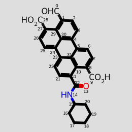 O=Cc1ccc2c3ccc(C(=O)O)c4c(C(=O)NC5CCCCC5)ccc(c5ccc(C(=O)O)c1c25)c43